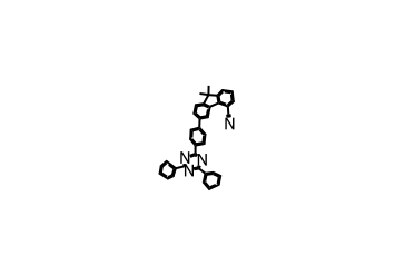 CC1(C)c2ccc(-c3ccc(-c4nc(-c5ccccc5)nc(-c5ccccc5)n4)cc3)cc2-c2c(C#N)cccc21